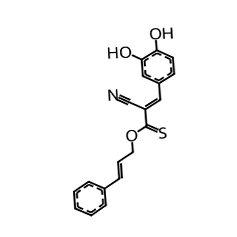 N#C/C(=C\c1ccc(O)c(O)c1)C(=S)OC/C=C/c1ccccc1